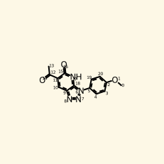 COc1ccc(-n2nnc3cc(C(C)=O)c(=O)[nH]c32)cc1